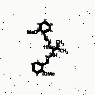 COc1ccccc1/C=N/NC(N/N=C/c1ccccc1OC)=C(C)C